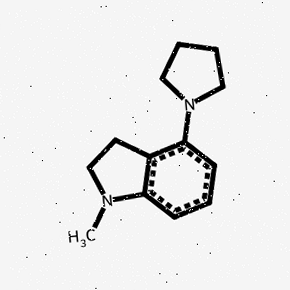 CN1CCc2c1cccc2N1CCCC1